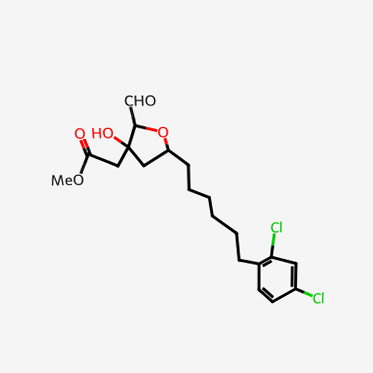 COC(=O)CC1(O)CC(CCCCCCc2ccc(Cl)cc2Cl)OC1C=O